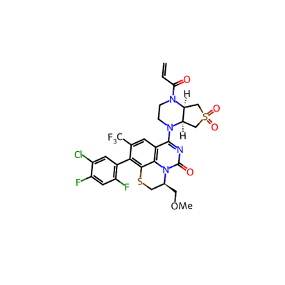 C=CC(=O)N1CCN(c2nc(=O)n3c4c(c(-c5cc(Cl)c(F)cc5F)c(C(F)(F)F)cc24)SC[C@@H]3COC)[C@@H]2CS(=O)(=O)C[C@@H]21